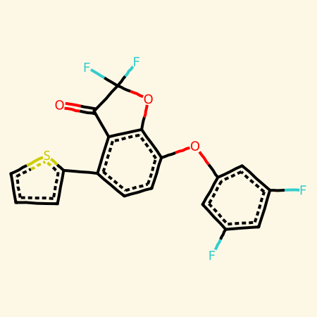 O=C1c2c(-c3cccs3)ccc(Oc3cc(F)cc(F)c3)c2OC1(F)F